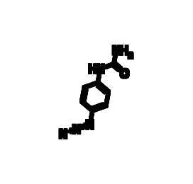 [N-]=[N+]=Nc1ccc(NC(N)=O)cc1